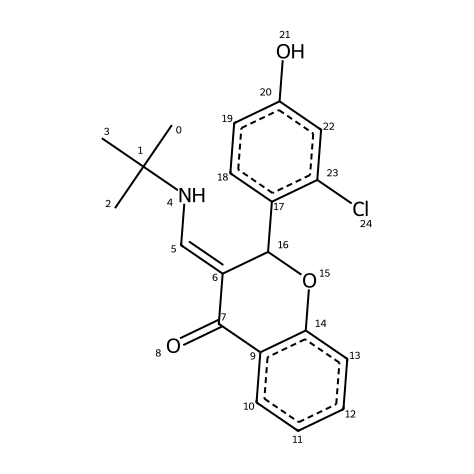 CC(C)(C)NC=C1C(=O)c2ccccc2OC1c1ccc(O)cc1Cl